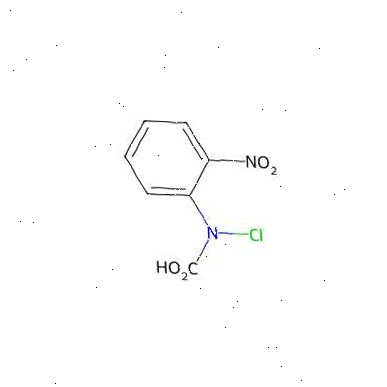 O=C(O)N(Cl)c1ccccc1[N+](=O)[O-]